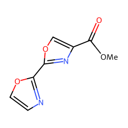 COC(=O)c1coc(-c2ncco2)n1